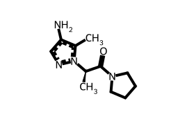 Cc1c(N)cnn1[C@H](C)C(=O)N1CCCC1